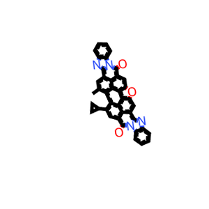 Cc1cc2c3c(cc4oc5cc6c7c(cc(C8CC8)c8c1c3c4c5c87)c(=O)n1c3ccccc3nc61)c(=O)n1c3ccccc3nc21